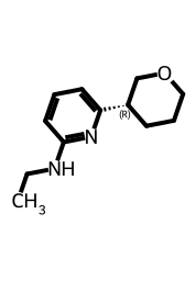 CCNc1cccc([C@H]2CCCOC2)n1